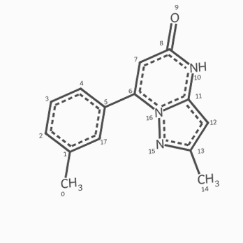 Cc1cccc(-c2cc(=O)[nH]c3cc(C)nn23)c1